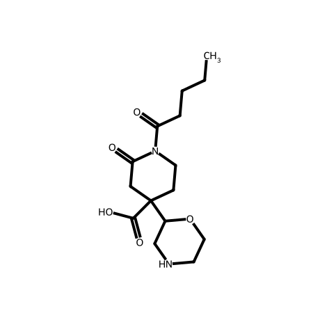 CCCCC(=O)N1CCC(C(=O)O)(C2CNCCO2)CC1=O